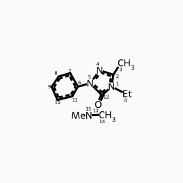 CCn1c(C)nn(-c2ccccc2)c1=O.CNC